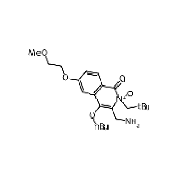 CCCCOC1=C(CN)[N+]([O-])(CC(C)(C)C)C(=O)c2ccc(OCCOC)cc21